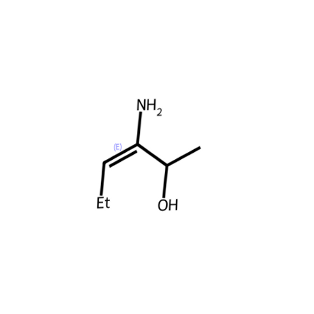 CC/C=C(/N)C(C)O